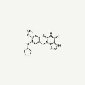 COc1ccc(Cn2c(=S)[nH]c(=S)c3[nH]cnc32)cc1OC1CCCC1